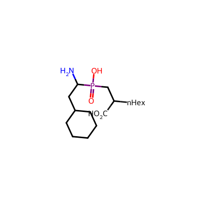 CCCCCCC(CP(=O)(O)C(N)CC1CCCCC1)C(=O)O